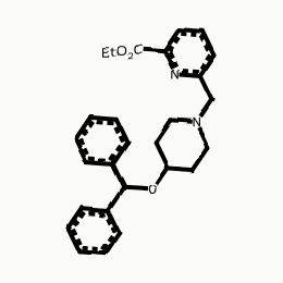 CCOC(=O)c1cccc(CN2CCC(OC(c3ccccc3)c3ccccc3)CC2)n1